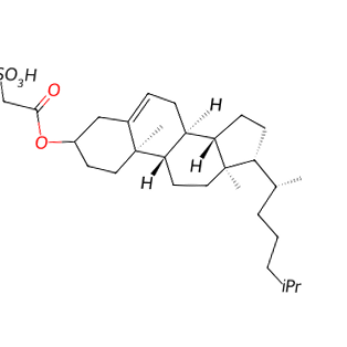 CC(C)CCC[C@@H](C)[C@H]1CC[C@H]2[C@@H]3CC=C4CC(OC(=O)CS(=O)(=O)O)CC[C@]4(C)[C@H]3CC[C@]12C